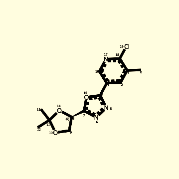 Cc1cc(-c2nnc([C@H]3COC(C)(C)O3)o2)cnc1Cl